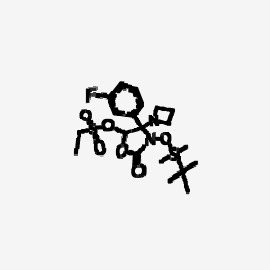 CCS(=O)(=O)OC1OC(=O)N(O[Si](C)(C)C(C)(C)C)C1(c1cccc(F)c1)N1CCC1